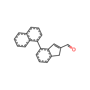 O=CC1=Cc2c(cccc2-c2cccc3ccccc23)C1